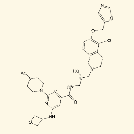 CC(=O)N1CCN(c2nc(NC3COC3)cc(C(=O)NC[C@H](O)CN3CCc4c(ccc(OCc5cnco5)c4Cl)C3)n2)CC1